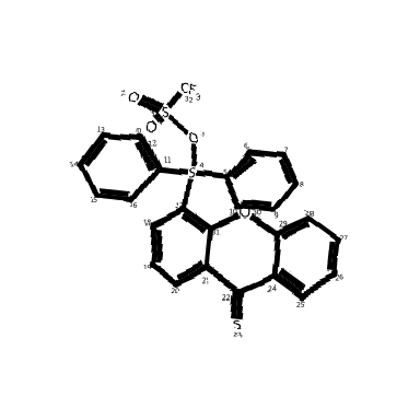 O=S(=O)(OS(c1ccccc1)(c1ccccc1)c1cccc2c(=S)c3ccccc3oc12)C(F)(F)F